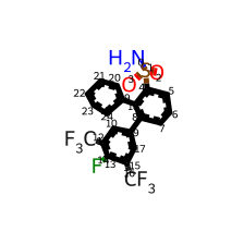 NS(=O)(=O)c1cccc(-c2cc(C(F)(F)F)c(F)c(C(F)(F)F)c2)c1-c1ccccc1